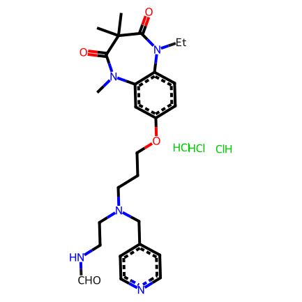 CCN1C(=O)C(C)(C)C(=O)N(C)c2cc(OCCCN(CCNC=O)Cc3ccncc3)ccc21.Cl.Cl.Cl